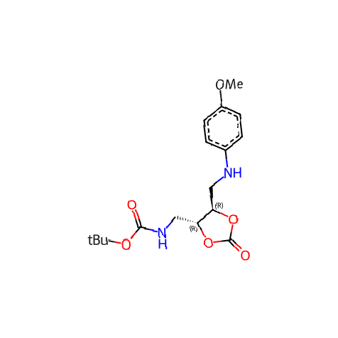 COc1ccc(NC[C@H]2OC(=O)O[C@@H]2CNC(=O)OC(C)(C)C)cc1